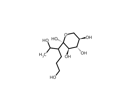 CC(O)C(CCCO)[C@@]1(O)OC[C@@H](O)[C@H](O)[C@H]1O